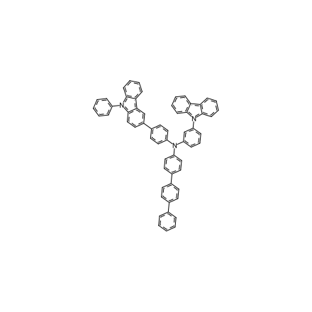 c1ccc(-c2ccc(-c3ccc(N(c4ccc(-c5ccc6c(c5)c5ccccc5n6-c5ccccc5)cc4)c4cccc(-n5c6ccccc6c6ccccc65)c4)cc3)cc2)cc1